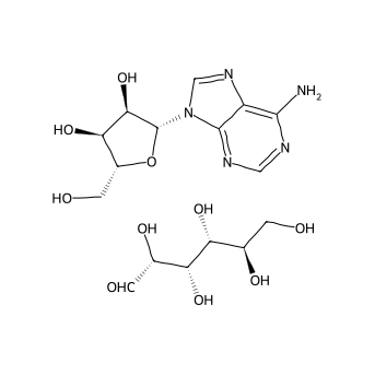 Nc1ncnc2c1ncn2[C@@H]1O[C@H](CO)[C@@H](O)[C@H]1O.O=C[C@H](O)[C@@H](O)[C@H](O)[C@H](O)CO